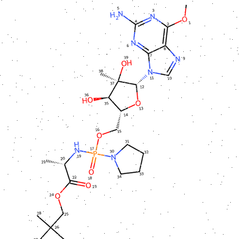 COc1nc(N)nc2c1ncn2[C@@H]1O[C@H](COP(=O)(N[C@@H](C)C(=O)OCC(C)(C)C)N2CCCC2)[C@@H](O)[C@@]1(C)O